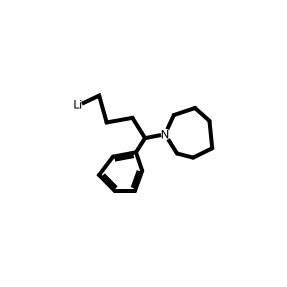 [Li][CH2]CCC(c1ccccc1)N1CCCCCC1